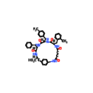 Cc1ccccc1C[C@H]1NC(=O)CCC(=O)Nc2ccc(cc2)C[C@@H](C(=O)O)NC(=O)[C@@H](Cc2ccccc2)NC(=O)[C@H](Cc2ccc(C(F)(F)F)cc2)NC1=O